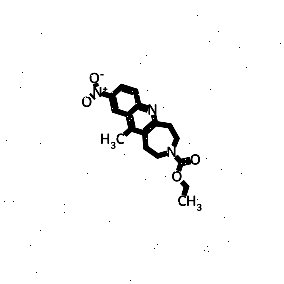 CCOC(=O)N1CCc2nc3ccc([N+](=O)[O-])cc3c(C)c2CC1